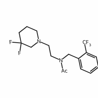 CC(=O)N(CCN1CCCC(F)(F)C1)Cc1ccccc1C(F)(F)F